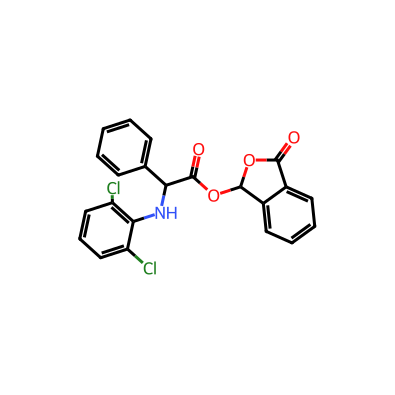 O=C1OC(OC(=O)C(Nc2c(Cl)cccc2Cl)c2ccccc2)c2ccccc21